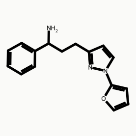 NC(CCc1ccn(-c2ccco2)n1)c1ccccc1